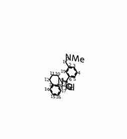 CNCc1cccc(C(=O)N2CCCc3ccccc32)c1.Cl